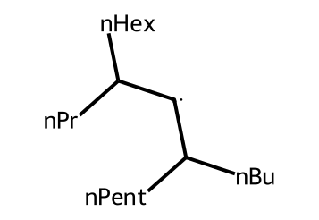 CCCCCCC([CH]C(CCCC)CCCCC)CCC